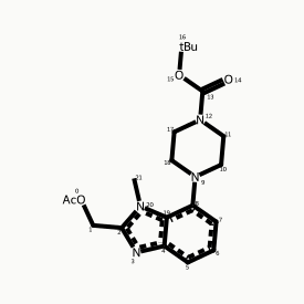 CC(=O)OCc1nc2cccc(N3CCN(C(=O)OC(C)(C)C)CC3)c2n1C